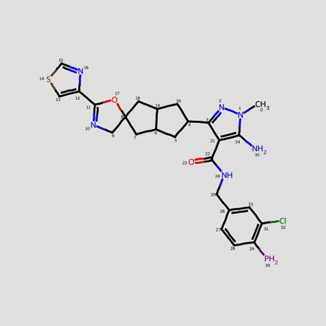 Cn1nc(C2CC3CC4(CN=C(c5cscn5)O4)CC3C2)c(C(=O)NCc2ccc(P)c(Cl)c2)c1N